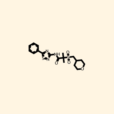 CC(C)(C(=O)Nc1nsc(-c2ccccc2)n1)S(=O)(=O)CC1CCOCC1